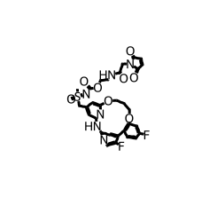 CS(=O)(Cc1cc2nc(c1)OCCCOc1cc(F)ccc1-c1cc(ncc1F)N2)=NC(=O)OCCNC(=O)CN1C(=O)C=CC1=O